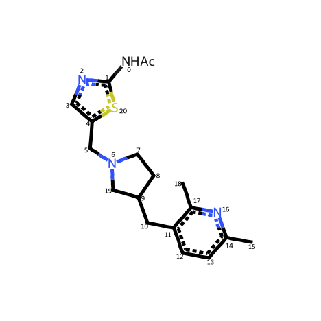 CC(=O)Nc1ncc(CN2CCC(Cc3ccc(C)nc3C)C2)s1